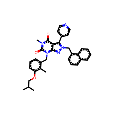 Cc1c(Cn2c(=O)n(C)c(=O)c3c(-c4ccncc4)n(Cc4cccc5ccccc45)nc32)cccc1OCC(C)C